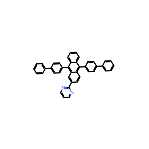 c1ccc(-c2ccc(-c3c4ccccc4c(-c4ccc(-c5ccccc5)cc4)c4cc(-c5ncccn5)ccc34)cc2)cc1